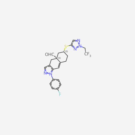 O=C[C@]12Cc3cnn(-c4ccc(F)cc4)c3C=C1CC[C@H](Sc1cnn(CC(F)(F)F)n1)C2